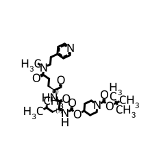 CC(C)C[C@H](NC(=O)OC1CCN(C(=O)OC(C)(C)C)CC1)C(=O)N[C@H](C=O)CCC(=O)N(C)CCc1ccncc1